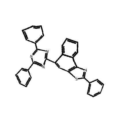 c1ccc(-c2nc(-c3ccccc3)nc(-c3cc4sc(-c5ccccc5)nc4c4ccccc34)n2)cc1